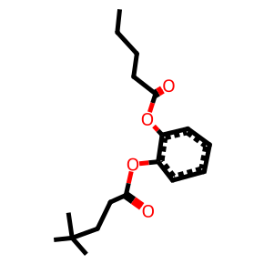 CCCCC(=O)Oc1ccccc1OC(=O)CCC(C)(C)C